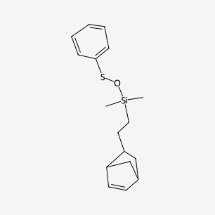 C[Si](C)(CCC1CC2C=CC1C2)OSc1ccccc1